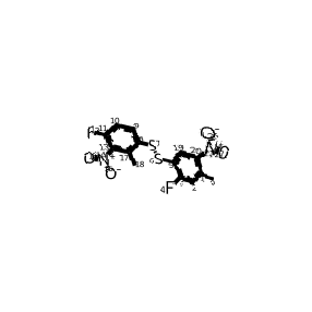 Cc1cc(F)c(SSc2ccc(F)c([N+](=O)[O-])c2C)cc1[N+](=O)[O-]